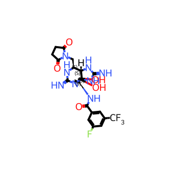 N=C1N[C@H]2[C@H](CN3C(=O)CCC3=O)NC(=N)N3C[C@H](NC(=O)c4cc(F)cc(C(F)(F)F)c4)C(O)(O)[C@]23N1